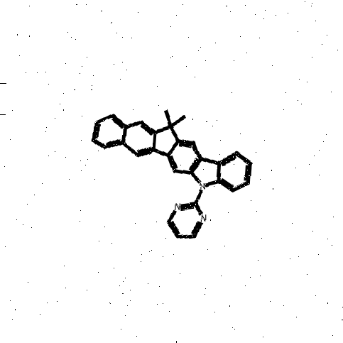 CC1(C)c2cc3ccccc3cc2-c2cc3c(cc21)c1ccccc1n3-c1ncccn1